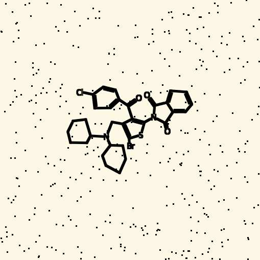 O=C(c1ccc(Cl)cc1)c1c(N2C(=O)c3ccccc3C2=O)sc(Br)c1CN(C1CCCCC1)C1CCCCC1